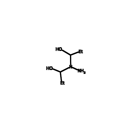 CCC(O)N(N)C(O)CC